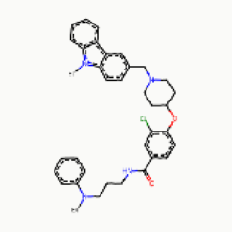 CCN(CCCNC(=O)c1ccc(OC2CCN(Cc3ccc4c(c3)c3ccccc3n4CC)CC2)c(Cl)c1)c1ccccc1